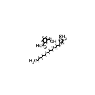 CCCCCCCCCCCCCCN1C=CN(C)C1.O=C(O)c1cccc(CO)c1